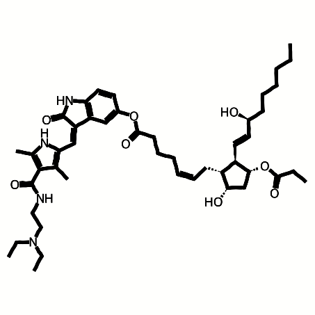 CCCCCC[C@H](O)/C=C/[C@@H]1[C@@H](C/C=C\CCCC(=O)Oc2ccc3c(c2)/C(=C/c2[nH]c(C)c(C(=O)NCCN(CC)CC)c2C)C(=O)N3)[C@@H](O)C[C@H]1OC(=O)CC